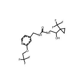 O=C(NCc1ccnc(OCC(F)(F)F)c1)NCC(O)C1(C(F)(F)F)CC1